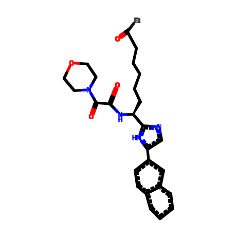 CCC(=O)CCCCC[C@H](NC(=O)C(=O)N1CCOCC1)c1ncc(-c2ccc3ccccc3c2)[nH]1